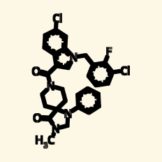 CN1CN(c2ccccc2)C2(CCN(C(=O)c3cn(Cc4cccc(Cl)c4F)c4cc(Cl)ccc34)CC2)C1=O